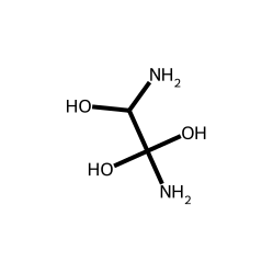 NC(O)C(N)(O)O